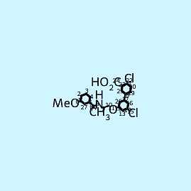 COc1cccc([C@@H](C)NCCOc2cc(Cl)cc(-c3ccc(Cl)c(C(=O)O)c3)c2)c1